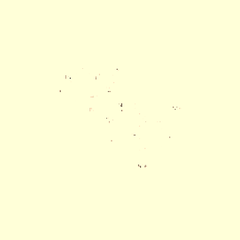 COc1ccc(OC)c(CN2C(=O)NC3(CCNCC3)C2=O)c1